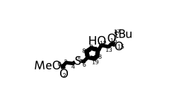 COC(=O)CCSCc1ccc(C(O)CC(=O)OC(C)(C)C)cc1